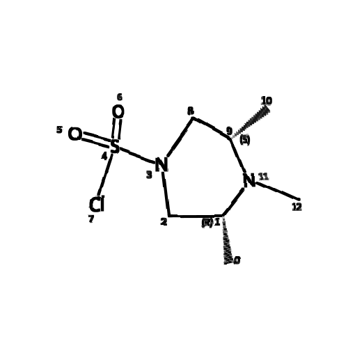 C[C@@H]1CN(S(=O)(=O)Cl)C[C@H](C)N1C